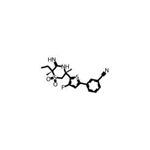 CC[C@]1(C)C(=N)N[C@](C)(c2sc(-c3cccc(C#N)c3)cc2F)CS1(=O)=O